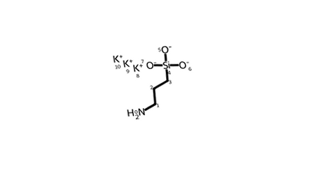 NCCC[Si]([O-])([O-])[O-].[K+].[K+].[K+]